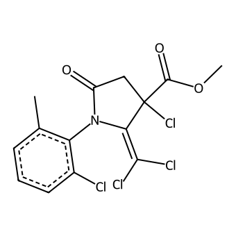 COC(=O)C1(Cl)CC(=O)N(c2c(C)cccc2Cl)C1=C(Cl)Cl